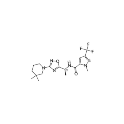 C[C@H](NC(=O)c1cc(C(F)(F)F)nn1C)c1nc(N2CCCC(C)(C)C2)no1